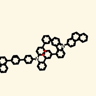 c1c(-c2ccc(N(c3ccc(-c4ccccc4)cc3)c3ccccc3-c3cccc(-c4cccc5c4c4ccccc4n5-c4ccc5c(ccc6ccccc65)c4)c3)cc2)ccc(-c2cccc3ccccc23)c#1